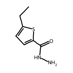 CCc1ccc(C(=O)NN)s1